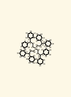 c1ccc(C(CCS(CCC(c2ccccc2)c2ccccc2)(CCC(c2ccccc2)c2ccccc2)CCC(c2ccccc2)c2ccccc2)c2ccccc2)cc1